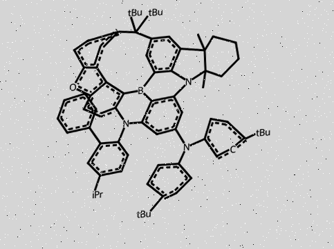 CC(C)c1ccc(N2c3cc(N(c4ccc(C(C)(C)C)cc4)c4ccc(C(C)(C)C)cc4)cc4c3B3c5cc(cc6c5N4C4(C)CCCCC64C)C(C(C)(C)C)(C(C)(C)C)c4ccc5oc6ccc2c3c6c5c4)c(-c2ccccc2)c1